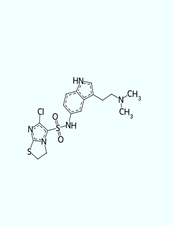 CN(C)CCc1c[nH]c2ccc(NS(=O)(=O)c3c(Cl)nc4n3CCS4)cc12